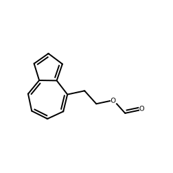 O=COCCc1ccccc2cccc1-2